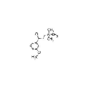 COc1cccc(C(=O)CC[N+](C)(C)C)c1